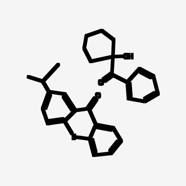 CC(C)c1ccc2sc3ccccc3c(=O)c2c1.O=C(c1ccccc1)C1(O)CCCCC1